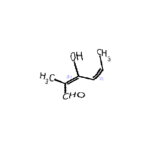 C/C=C\C(O)=C(\C)C=O